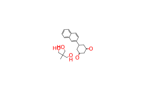 CC(CO)(CO)CO.O=C1CC(=O)CC(c2ccc3ccccc3c2)C1